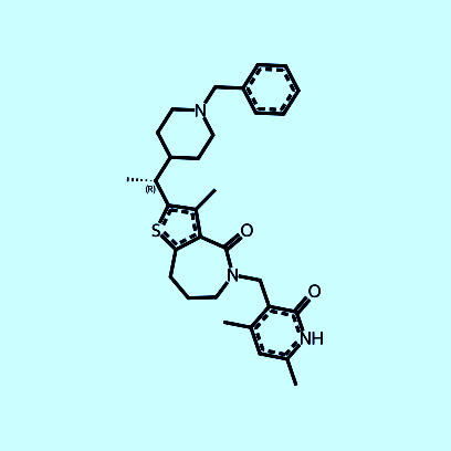 Cc1cc(C)c(CN2CCCc3sc([C@H](C)C4CCN(Cc5ccccc5)CC4)c(C)c3C2=O)c(=O)[nH]1